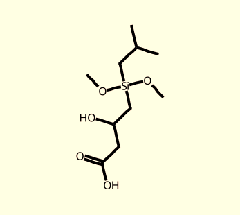 CO[Si](CC(C)C)(CC(O)CC(=O)O)OC